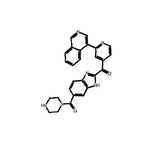 O=C(c1ccnc(-c2cncc3ccccc23)c1)c1nc2ccc(C(=O)N3CCNCC3)cc2[nH]1